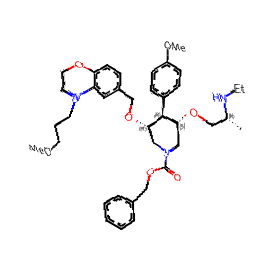 CCN[C@H](C)CO[C@@H]1CN(C(=O)OCc2ccccc2)C[C@H](OCc2ccc3c(c2)N(CCCOC)CCO3)[C@H]1c1ccc(OC)cc1